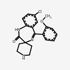 COc1ccccc1C1=NC2(CCNCC2)C(=O)Nc2ccc(Cl)cc21